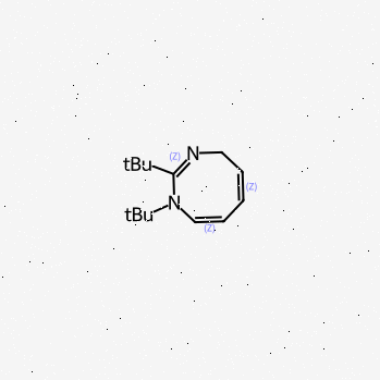 CC(C)(C)/C1=N/C/C=C\C=C/N1C(C)(C)C